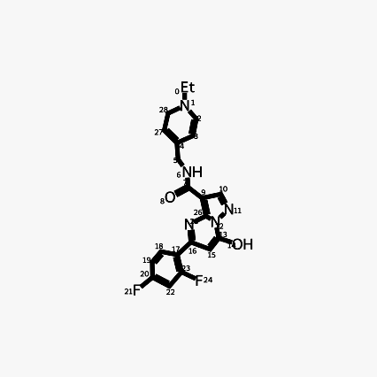 CCN1C=CC(CNC(=O)c2cnn3c(O)cc(-c4ccc(F)cc4F)nc23)=CC1